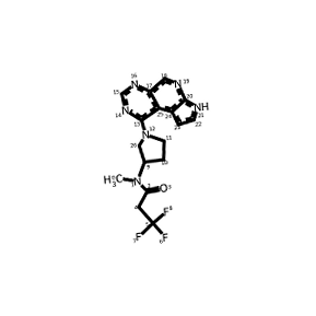 CN(C(=O)CC(F)(F)F)C1CCN(c2ncnc3cnc4[nH]ccc4c23)C1